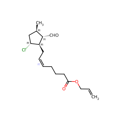 C=CCOC(=O)CCC/C=C\C[C@@H]1[C@@H](C=O)[C@H](C)C[C@H]1Cl